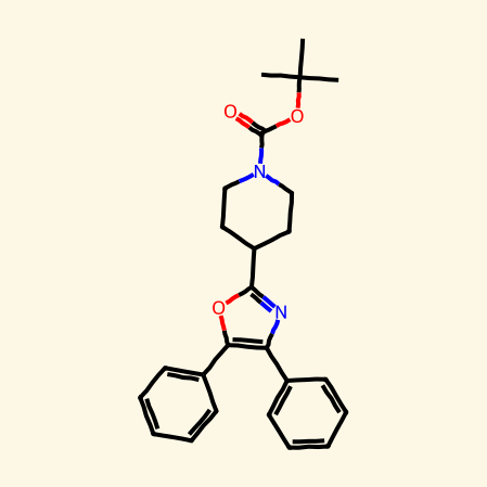 CC(C)(C)OC(=O)N1CCC(c2nc(-c3ccccc3)c(-c3ccccc3)o2)CC1